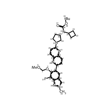 COCOc1c(-c2ccc3nc(N4CC[C@H](N(C(=O)OC(C)(C)C)C5CCC5)C4)ccc3n2)cc2cn(C)nc2c1F